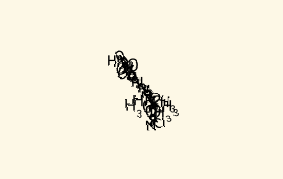 CC1(C)[C@H](NC(=O)c2ccc(N3CCC(N4Cc5cc6c(cc5C4)C(=O)N(C4CCC(=O)NC4=O)C6=O)CC3)cn2)C(C)(C)[C@H]1Oc1ccc(C#N)c(Cl)c1